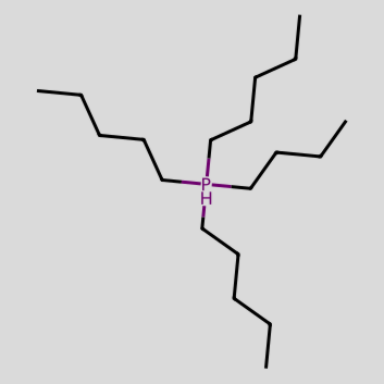 CCCCC[PH](CCCC)(CCCCC)CCCCC